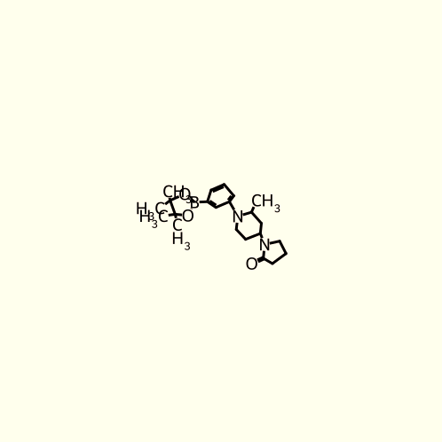 CC1CC(N2CCCC2=O)CCN1c1cccc(B2OC(C)(C)C(C)(C)O2)c1